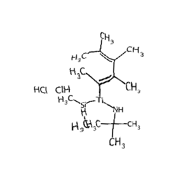 CC(C)=C(C)C(C)=[C](C)[Ti]([NH]C(C)(C)C)[SiH](C)C.Cl.Cl